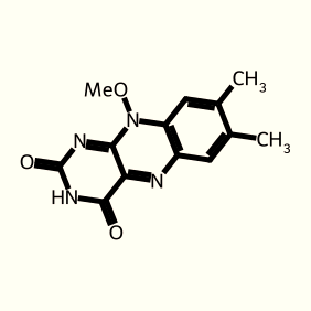 COn1c2nc(=O)[nH]c(=O)c-2nc2cc(C)c(C)cc21